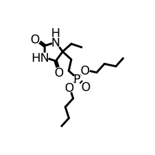 CCCCOP(=O)(CCC1(CC)NC(=O)NC1=O)OCCCC